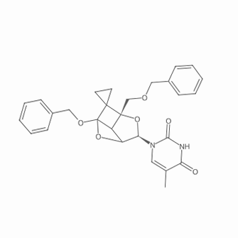 Cc1cn([C@@H]2O[C@]3(COCc4ccccc4)C4C2OC4(OCc2ccccc2)C32CC2)c(=O)[nH]c1=O